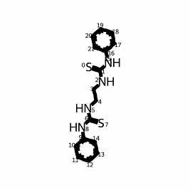 S=C(NCCNC(=S)Nc1ccccc1)Nc1ccccc1